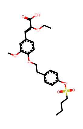 CCCCS(=O)(=O)Oc1ccc(CCOc2ccc(C=C(OCC)C(=O)O)cc2OC)cc1